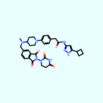 CN(Cc1ccc2c(c1)C(=O)N(N1CCC(=O)NC1=O)C2=O)C1CCN(c2ccc(CC(=O)Nc3cc(C4CCC4)[nH]n3)cc2)CC1